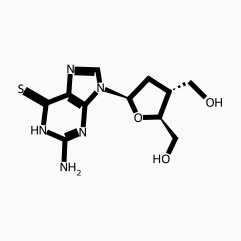 Nc1nc2c(ncn2[C@H]2C[C@H](CO)[C@@H](CO)O2)c(=S)[nH]1